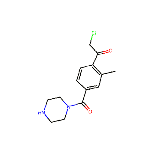 Cc1cc(C(=O)N2CCNCC2)ccc1C(=O)CCl